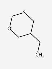 CCC1COCSC1